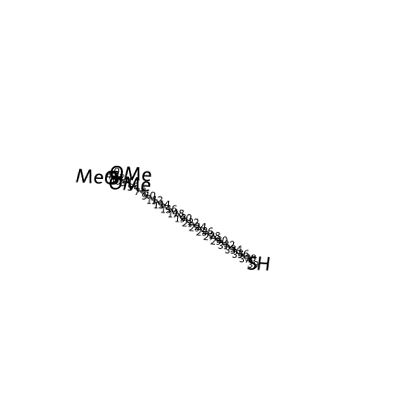 CO[Si](CCCCCCCCCCCCCCCCCCCCCCCCCCCCCCCCCCCCCS)(OC)OC